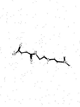 CN(C)CCOCCNC(=O)CCC(=O)O